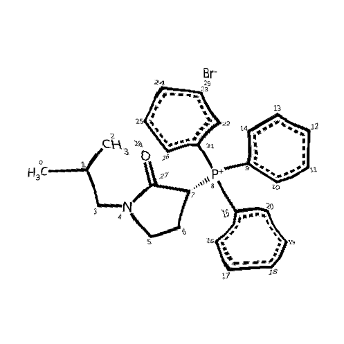 CC(C)CN1CC[C@@H]([P+](c2ccccc2)(c2ccccc2)c2ccccc2)C1=O.[Br-]